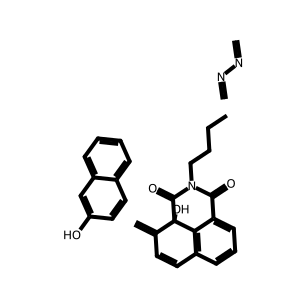 C=C1C=Cc2cccc3c2C1(O)C(=O)N(CCCC)C3=O.C=NN=C.Oc1ccc2ccccc2c1